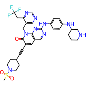 CS(=O)(=O)N1CCC(C#Cc2cc3cnc(Nc4ccc(NC5CCCNC5)cc4)nc3n(Cc3cncnc3CC(F)(F)F)c2=O)CC1